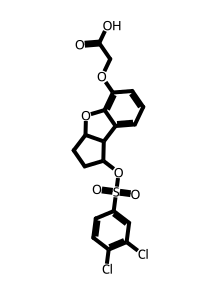 O=C(O)COc1cccc2c1OC1CCC(OS(=O)(=O)c3ccc(Cl)c(Cl)c3)C21